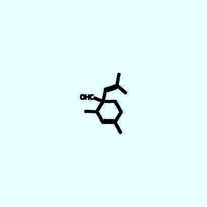 CC(C)=CC1(C=O)CCC(C)=CC1C